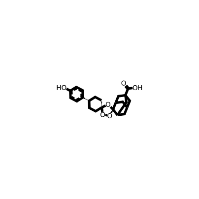 O=C(O)C12CC3CC(C1)[C@]1(OO[C@]4(CC[C@@H](c5ccc(O)cc5)CC4)O1)C(C3)C2